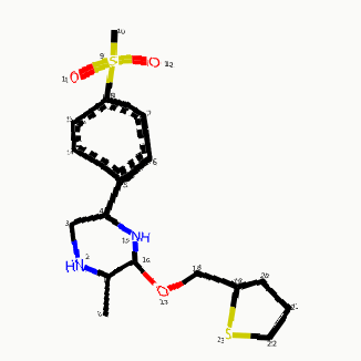 CC1NCC(c2ccc(S(C)(=O)=O)cc2)NC1OCC1CCCS1